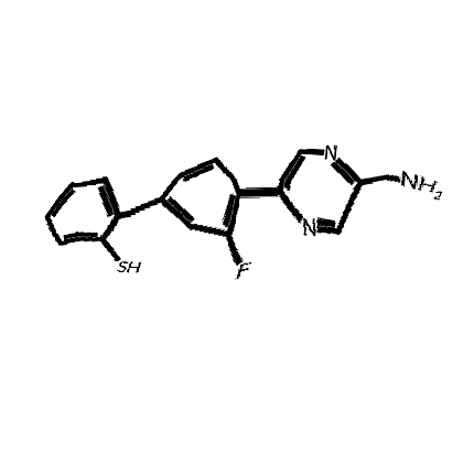 Nc1cnc(-c2ccc(-c3ccccc3S)cc2F)cn1